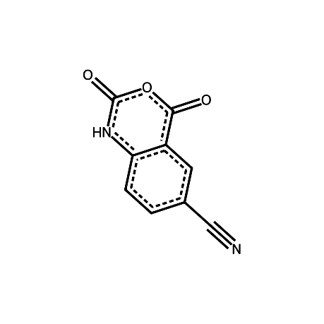 N#Cc1ccc2[nH]c(=O)oc(=O)c2c1